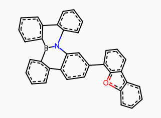 c1ccc2c(c1)B1c3ccccc3-c3ccc(-c4cccc5c4oc4ccccc45)cc3N1c1ccccc1-2